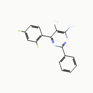 N#Cc1c(N)nc(-c2ccccc2)nc1-c1ccc(F)cc1F